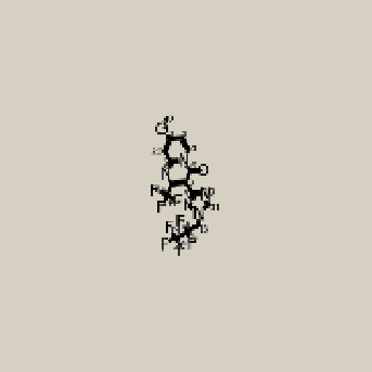 COc1ccn2c(=O)c(-c3ncn(CC(F)(F)C(F)(F)F)n3)c(C(F)(F)F)nc2c1